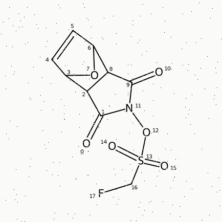 O=C1C2C3C=CC(O3)C2C(=O)N1OS(=O)(=O)CF